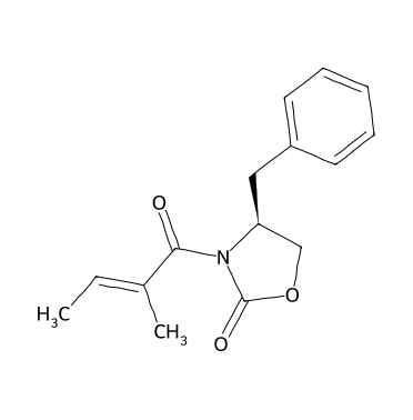 C/C=C(\C)C(=O)N1C(=O)OC[C@@H]1Cc1ccccc1